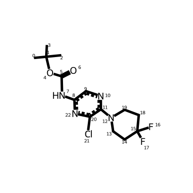 CC(C)(C)OC(=O)Nc1cnc(N2CCC(F)(F)CC2)c(Cl)n1